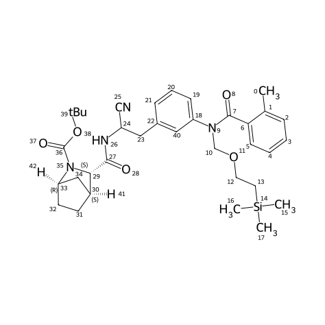 Cc1ccccc1C(=O)N(COCC[Si](C)(C)C)c1cccc(CC(C#N)NC(=O)[C@@H]2[C@H]3CC[C@H](C3)N2C(=O)OC(C)(C)C)c1